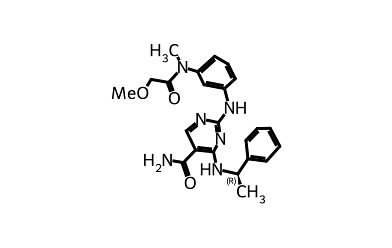 COCC(=O)N(C)c1cccc(Nc2ncc(C(N)=O)c(N[C@H](C)c3ccccc3)n2)c1